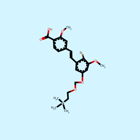 COc1cc(C=Cc2cc(OCOCC[Si](C)(C)C)cc(OC)c2Br)ccc1C(=O)O